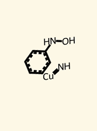 ONc1ccccc1.[NH]=[Cu]